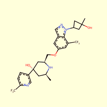 C[C@H]1C[C@@](O)(c2ccc(C(F)(F)F)nc2)C[C@@H](COc2cc(C(F)(F)F)c3c(cnn3C3CC(C)(O)C3)c2)N1